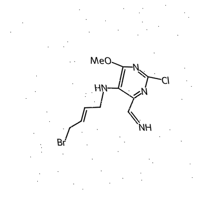 COc1nc(Cl)nc(C=N)c1NC/C=C/CBr